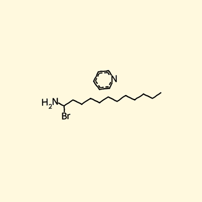 CCCCCCCCCCCC(N)Br.c1ccncc1